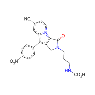 N#Cc1ccn2c3c(c(-c4ccc([N+](=O)[O-])cc4)c2c1)CN(CCCNC(=O)O)C3=O